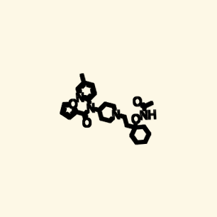 CC(=O)NOC1(CCN2CCC(N(C(=O)c3ccco3)c3ccc(C)cn3)CC2)CCCCC1